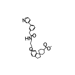 COC(=O)C1CCC2(CCc3ccc(OCCCNC(=O)Cc4cccc(-c5cccnc5)c4)cc32)CC1